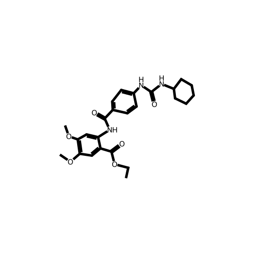 CCOC(=O)c1cc(OC)c(OC)cc1NC(=O)c1ccc(NC(=O)NC2CCCCC2)cc1